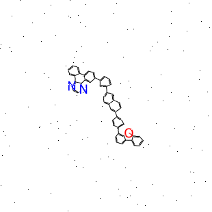 c1cc(-c2ccc3cc(-c4ccc(-c5cccc6c5oc5ccccc56)cc4)ccc3c2)cc(-c2ccc3c4ccccc4c4nccnc4c3c2)c1